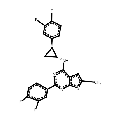 Cc1cc2c(N[C@@H]3C[C@H]3c3ccc(F)c(F)c3)nc(-c3ccc(F)c(F)c3)nc2s1